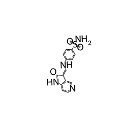 NS(=O)(=O)c1ccc(NC=C2C(=O)Nc3ccncc32)cc1